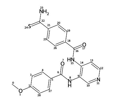 COc1ccc(C(=O)Nc2cnccc2NC(=O)c2ccc(C(N)=S)cc2)cc1